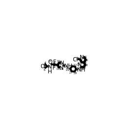 O=C(NC1COC1)C(F)(F)c1cnc(NC[C@H]2CC[C@H](Nc3ccc4ccnc(Cl)c4n3)CC2)nc1